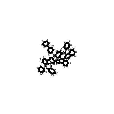 c1ccc(-c2ccc(N(c3ccc4c(c3)C3(c5ccccc5-c5ccccc53)c3ccc5ccccc5c3N4c3ccccc3)c3ccc4sc5c(N(c6ccccc6)c6ccccc6)cccc5c4c3)cc2)cc1